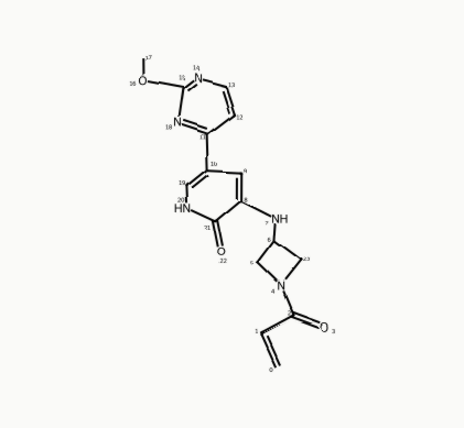 C=CC(=O)N1CC(Nc2cc(-c3ccnc(OC)n3)c[nH]c2=O)C1